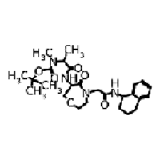 CC(C(=O)NC1CCCCN(CC(=O)NC2CCCc3ccccc32)C1=O)N(C)C(=O)OC(C)(C)C